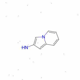 [NH]c1cc2ccccn2c1